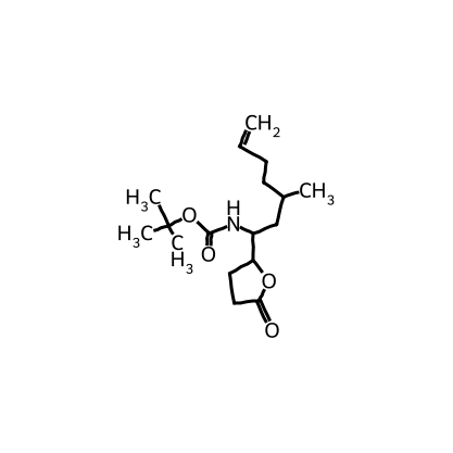 C=CCCC(C)CC(NC(=O)OC(C)(C)C)C1CCC(=O)O1